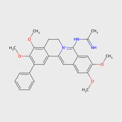 COc1cc2cc3[n+](c(NC(C)=N)c2cc1OC)CCc1c-3cc(-c2ccccc2)c(OC)c1OC